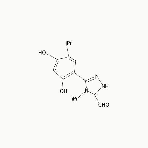 CC(C)c1cc(C2=NNC(C=O)N2C(C)C)c(O)cc1O